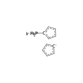 P[c-]1cccc1.[Fe+2].[Ir].c1cc[cH-]c1